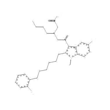 CCCCC(CC(=O)O)CC(=O)c1c(CCCCCCc2ccccc2F)n(C)c2ccc(Cl)cc12